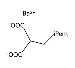 CCCC(C)CC(C(=O)[O-])C(=O)[O-].[Ba+2]